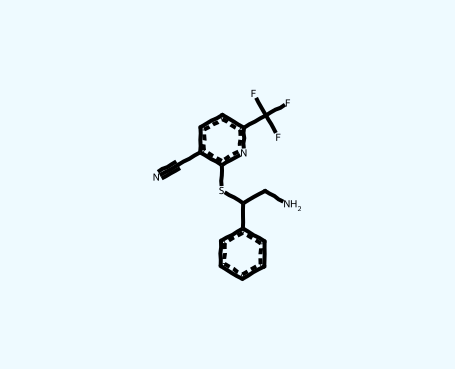 N#Cc1ccc(C(F)(F)F)nc1SC(CN)c1ccccc1